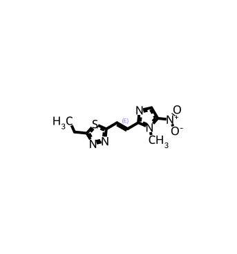 CCc1nnc(/C=C/c2ncc([N+](=O)[O-])n2C)s1